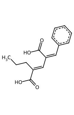 CCCC(=CC(=Cc1ccccc1)C(=O)O)C(=O)O